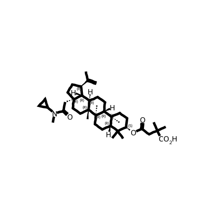 C=C(C)[C@@H]1CC[C@]2(CC(=O)N(C)C3CC3)CC[C@]3(C)[C@H](CC[C@@H]4[C@@]5(C)CC[C@H](OC(=O)CC(C)(C)C(=O)O)C(C)(C)[C@@H]5CC[C@]43C)[C@@H]12